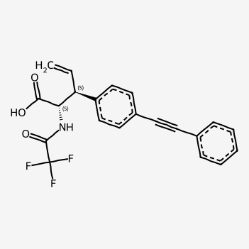 C=C[C@@H](c1ccc(C#Cc2ccccc2)cc1)[C@H](NC(=O)C(F)(F)F)C(=O)O